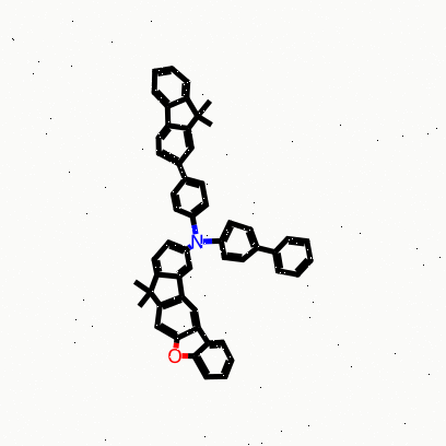 CC1(C)c2ccccc2-c2ccc(-c3ccc(N(c4ccc(-c5ccccc5)cc4)c4ccc5c(c4)-c4cc6c(cc4C5(C)C)oc4ccccc46)cc3)cc21